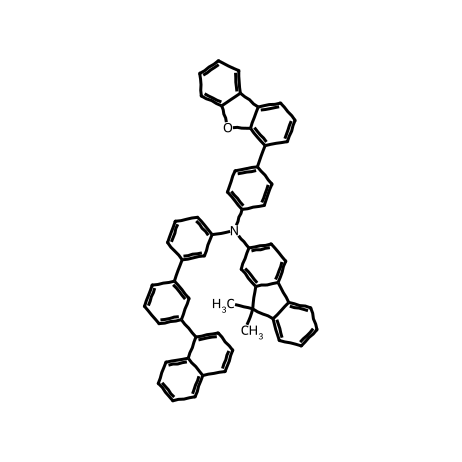 CC1(C)c2ccccc2-c2ccc(N(c3ccc(-c4cccc5c4oc4ccccc45)cc3)c3cccc(-c4cccc(-c5cccc6ccccc56)c4)c3)cc21